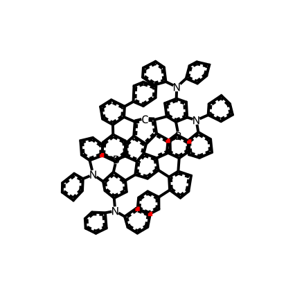 c1ccc(-c2cccc(-c3ccccc3)c2-c2cc3c4c(cc5c(-c6c(-c7ccccc7)cccc6-c6ccccc6)cc6c7c(cc2c4c57)B2c4ccccc4N(c4ccccc4)c4cc(N(c5ccccc5)c5ccccc5)cc-6c42)B2c4ccccc4N(c4ccccc4)c4cc(N(c5ccccc5)c5ccccc5)cc-3c42)cc1